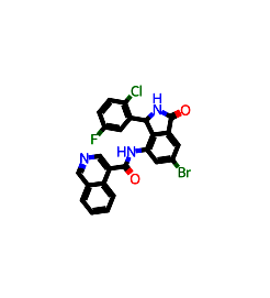 O=C1NC(c2cc(F)ccc2Cl)c2c(NC(=O)c3cncc4ccccc34)cc(Br)cc21